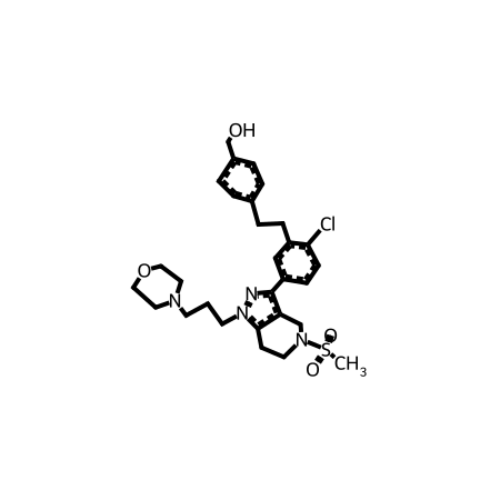 CS(=O)(=O)N1CCc2c(c(-c3ccc(Cl)c(CCc4ccc(CO)cc4)c3)nn2CCCN2CCOCC2)C1